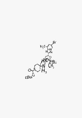 Cc1cc(Br)cn2nc(C(CNCC3(N)CCN(C(=O)OC(C)(C)C)CC3)O[Si](C)(C)C(C)(C)C)nc12